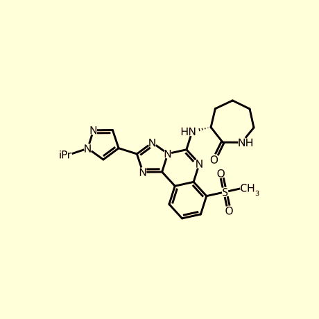 CC(C)n1cc(-c2nc3c4cccc(S(C)(=O)=O)c4nc(N[C@@H]4CCCCNC4=O)n3n2)cn1